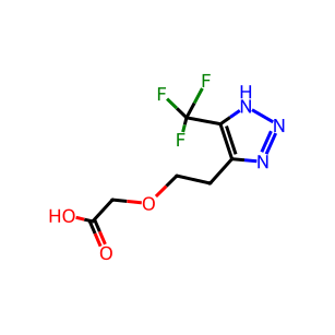 O=C(O)COCCc1nn[nH]c1C(F)(F)F